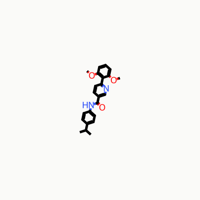 COc1cccc(OC)c1-c1ccc(C(=O)Nc2ccc(C(C)C)cc2)cn1